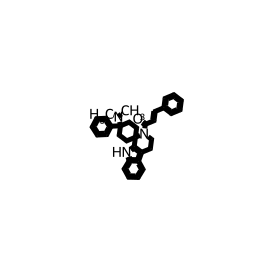 CN(C)C1(c2ccccc2)CCC2(CC1)c1[nH]c3ccccc3c1CCN2C(=O)/C=C/c1ccccc1